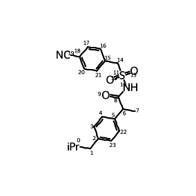 CC(C)Cc1ccc(C(C)C(=O)NS(=O)(=O)Cc2ccc(C#N)cc2)cc1